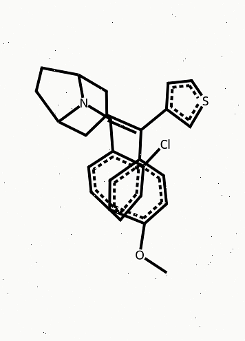 COc1ccc(C(=C2CC3CCC(C2)N3Cc2ccccc2Cl)c2ccsc2)cc1